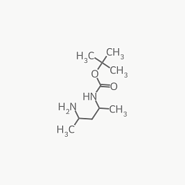 CC(N)CC(C)NC(=O)OC(C)(C)C